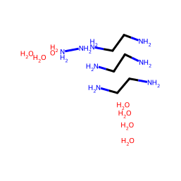 NCCN.NCCN.NCCN.NN.O.O.O.O.O.O.O